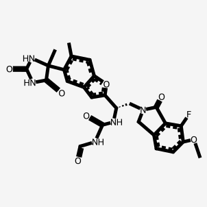 COc1ccc2c(c1F)C(=O)N(C[C@H](NC(=O)NC=O)c1cc3cc(C4(C)NC(=O)NC4=O)c(C)cc3o1)C2